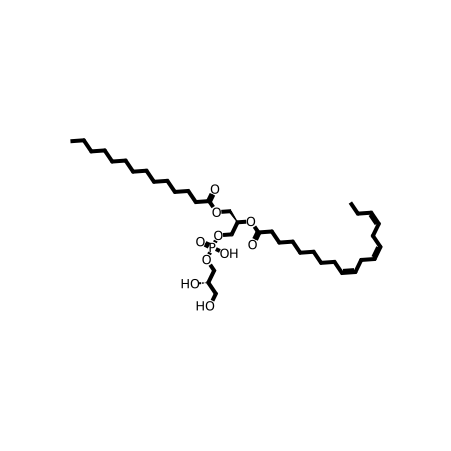 CC/C=C\C/C=C\C/C=C\CCCCCCCC(=O)O[C@H](COC(=O)CCCCCCCCCCCCC)COP(=O)(O)OC[C@@H](O)CO